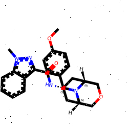 COc1ccc(CN2[C@@H]3COC[C@H]2C[C@@H](NC(=O)c2nn(C)c4ccccc24)C3)cc1